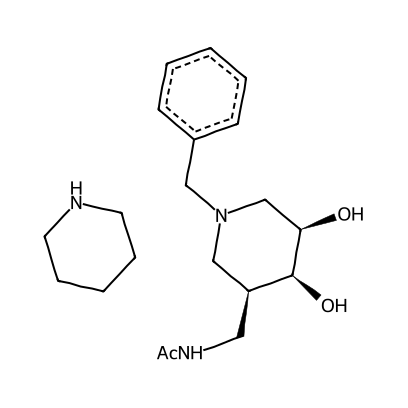 C1CCNCC1.CC(=O)NC[C@H]1CN(Cc2ccccc2)C[C@@H](O)[C@H]1O